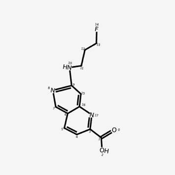 O=C(O)c1ccc2cnc(NCCCF)cc2n1